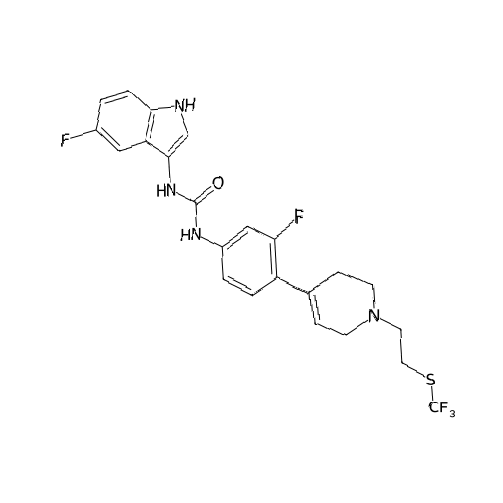 O=C(Nc1ccc(C2=CCN(CCSC(F)(F)F)CC2)c(F)c1)Nc1c[nH]c2ccc(F)cc12